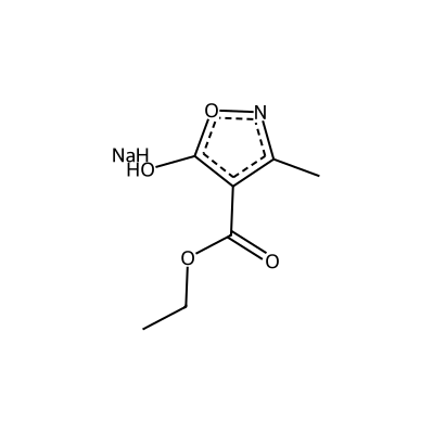 CCOC(=O)c1c(C)noc1O.[NaH]